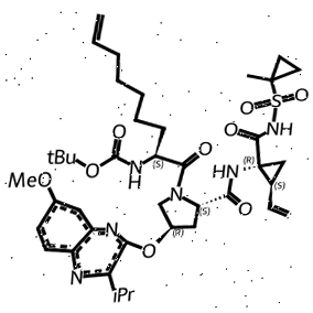 C=CCCCCC[C@H](NC(=O)OC(C)(C)C)C(=O)N1C[C@H](Oc2nc3cc(OC)ccc3nc2C(C)C)C[C@H]1C(=O)N[C@]1(C(=O)NS(=O)(=O)C2(C)CC2)C[C@H]1C=C